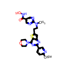 COc1ccc(-c2nc(N3CCOCC3)c3sc(CCN(C)c4ncc(C(=O)NO)cn4)cc3n2)cn1